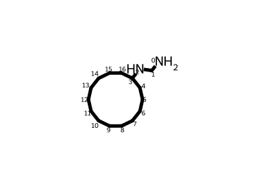 NCNC1CCCCCCCCCCCCC1